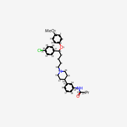 COc1ccc(OC(CCCCN2CCC(c3cccc(NC(=O)C(C)C)c3)CC2)c2ccc(Cl)cc2)cc1